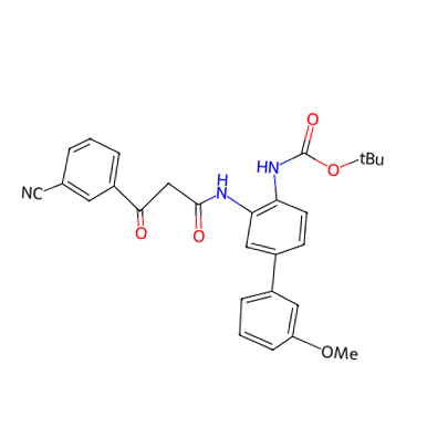 COc1cccc(-c2ccc(NC(=O)OC(C)(C)C)c(NC(=O)CC(=O)c3cccc(C#N)c3)c2)c1